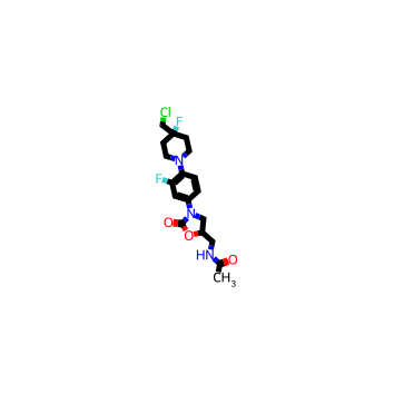 CC(=O)NCC1CN(c2ccc(N3CCC(F)(CCl)CC3)c(F)c2)C(=O)O1